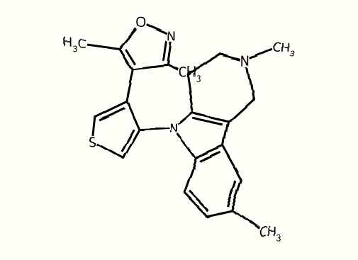 Cc1ccc2c(c1)c1c(n2-c2cscc2-c2c(C)noc2C)CCN(C)C1